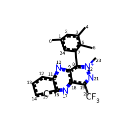 Cc1cc(C)c(C)c(-c2c3nc4ccccc4nc3c(C(F)(F)F)n[n+]2C)c1